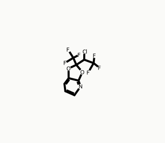 FC(F)(F)C(Cl)C1(C(F)(F)F)Oc2cccnc2O1